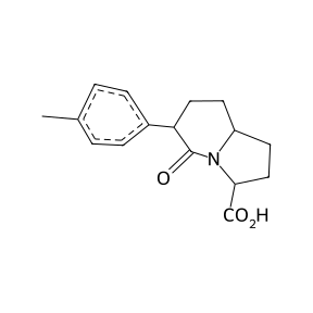 Cc1ccc(C2CCC3CCC(C(=O)O)N3C2=O)cc1